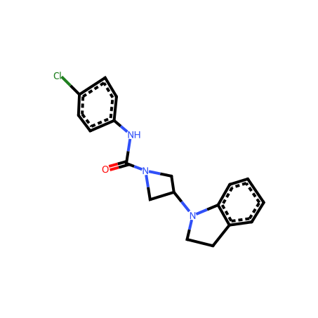 O=C(Nc1ccc(Cl)cc1)N1CC(N2CCc3ccccc32)C1